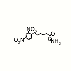 NOC(=O)CCCCCc1ccc([N+](=O)[O-])cc1[N+](=O)[O-]